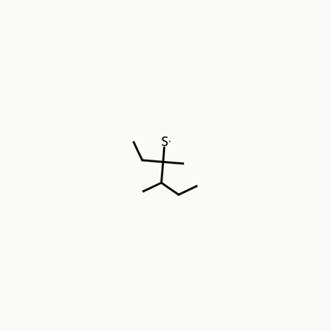 CCC(C)C(C)([S])CC